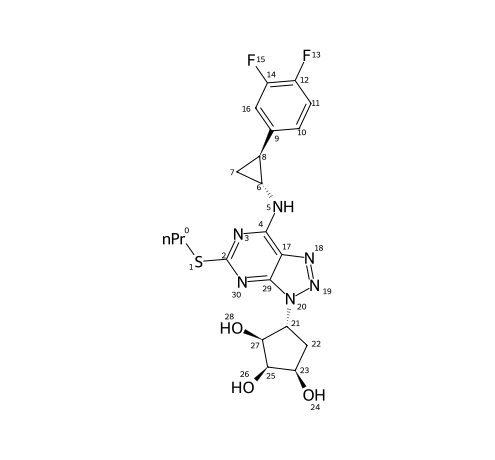 CCCSc1nc(N[C@@H]2C[C@H]2c2ccc(F)c(F)c2)c2nnn([C@@H]3C[C@@H](O)[C@@H](O)[C@H]3O)c2n1